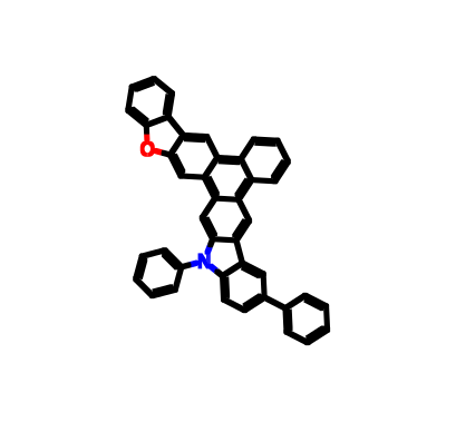 c1ccc(-c2ccc3c(c2)c2cc4c5ccccc5c5cc6c(cc5c4cc2n3-c2ccccc2)oc2ccccc26)cc1